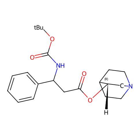 CC(C)(C)OC(=O)NC(CC(=O)O[C@H]1CN2CCC1CC2)c1ccccc1